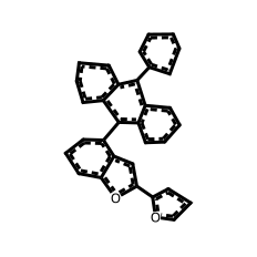 c1ccc(-c2c3ccccc3c(-c3cccc4oc(-c5ccco5)cc34)c3ccccc23)cc1